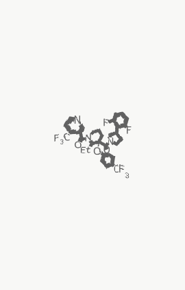 CCC1N(C(=O)c2cnccc2C(F)(F)F)CCC[C@@]1(Oc1ccc(C(F)(F)F)cc1)C(=O)N1CCC(c2c(F)cccc2F)C1